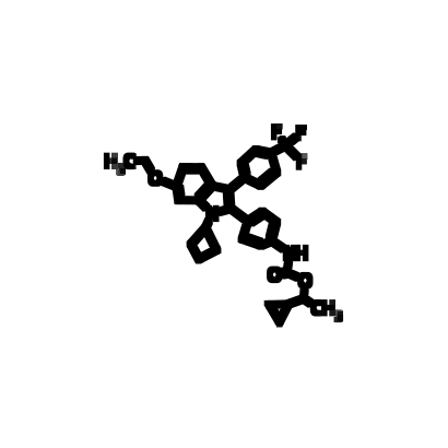 CCOc1ccc2c(-c3ccc(C(F)(F)F)cc3)c(-c3ccc(NC(=O)OC(C)C4CC4)cc3)n(C3CCC3)c2c1